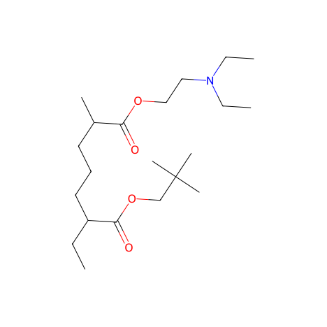 CCC(CCCC(C)C(=O)OCCN(CC)CC)C(=O)OCC(C)(C)C